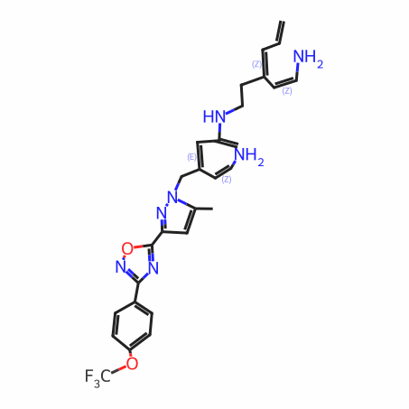 C=C/C=C(\C=C/N)CCNC(=C)/C=C(\C=C/N)Cn1nc(-c2nc(-c3ccc(OC(F)(F)F)cc3)no2)cc1C